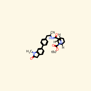 CN1C(=O)Cc2ccc(-c3ccc(C[C@@H](C#N)NC(=O)[C@@H]4[C@H]5CC[C@H](CC5)N4C(=O)OC(C)(C)C)cc3)cc21